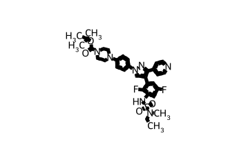 CCN(C)S(=O)(=O)Nc1cc(F)cc(-c2cn(-c3ccc(N4CCN(C(=O)OC(C)(C)C)CC4)cc3)nc2-c2ccncc2)c1F